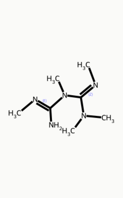 C/N=C(/N(C)C)N(C)/C(N)=N/C